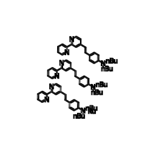 CCCCN(CCCC)c1ccc(C=Cc2ccnc(-c3ccccn3)c2)cc1.CCCCN(CCCC)c1ccc(C=Cc2ccnc(-c3ccccn3)c2)cc1.CCCCN(CCCC)c1ccc(C=Cc2ccnc(-c3ccccn3)c2)cc1.[Ru]